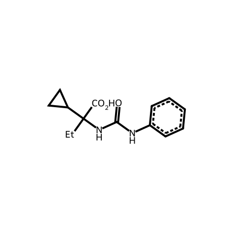 CCC(NC(=O)Nc1ccccc1)(C(=O)O)C1CC1